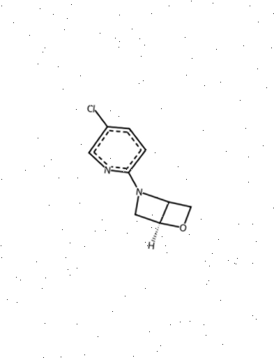 Clc1ccc(N2C[C@@H]3OCC32)nc1